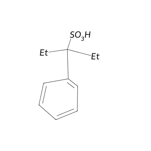 CCC(CC)(c1ccccc1)S(=O)(=O)O